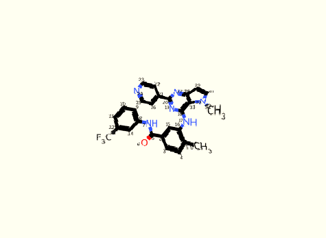 Cc1ccc(C(=O)Nc2cccc(C(F)(F)F)c2)cc1Nc1nc(-c2ccncc2)nc2ccn(C)c12